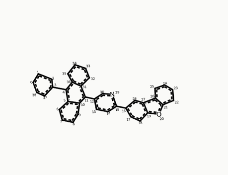 c1ccc(-c2c3ccccc3c(-c3ccc(-c4ccc5oc6ccccc6c5c4)nc3)c3ccccc23)cc1